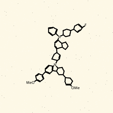 COC1=CCC(C2CCC3C(C2)c2cc(-c4ccc(OC)cc4)ccc2N3C2C=CC(C3=CC=C(N(c4ccccc4)C4CCC(C5C=CC(F)=CC5)CC4)C4CCCC34)CC2)CC1